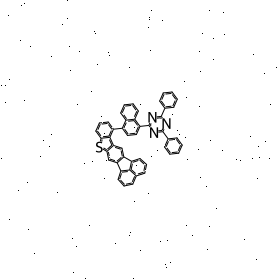 c1ccc(-c2nc(-c3ccccc3)nc(-c3ccc(-c4cccc5sc6cc7c(cc6c45)-c4cccc5cccc-7c45)c4ccccc34)n2)cc1